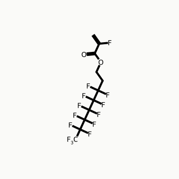 C=C(F)C(=O)OCCC(F)(F)C(F)(F)C(F)(F)C(F)(F)C(F)(F)C(F)(F)F